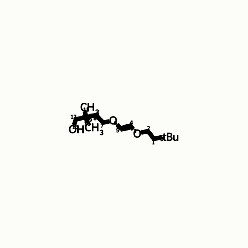 CC(C)(C)CCOC=COCCC(C)(C)CO